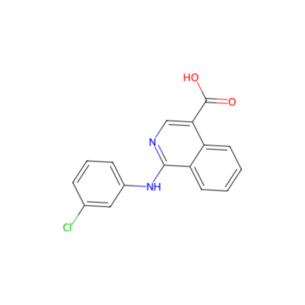 O=C(O)c1cnc(Nc2cccc(Cl)c2)c2ccccc12